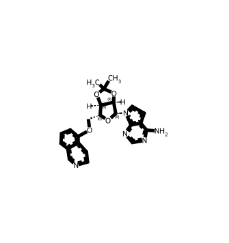 CC1(C)O[C@@H]2[C@H](O1)[C@@H](COc1cccc3cnccc13)O[C@H]2n1ccc2c(N)ncnc21